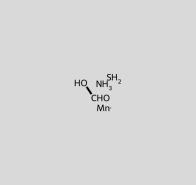 N.O=CO.S.[Mn]